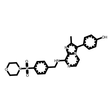 Cc1nc2c(NCc3ccc(S(=O)(=O)N4CCOCC4)cc3)nccn2c1-c1ccc(O)cc1